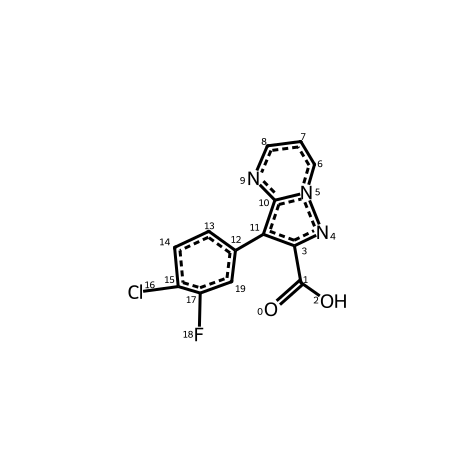 O=C(O)c1nn2cccnc2c1-c1ccc(Cl)c(F)c1